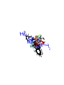 CNC1CCN(C(=O)N[C@H](C(=O)N2CCC[C@H]2[C@](Cc2ccccc2)(C(N)=O)C(=O)C(F)(F)F)C(C)C)CC1.Cl